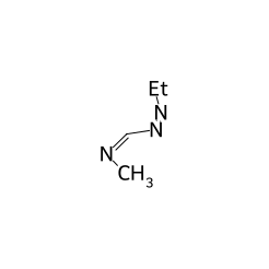 CC/N=N\C=N/C